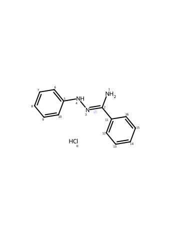 Cl.N/C(=N\Nc1ccccc1)c1ccccc1